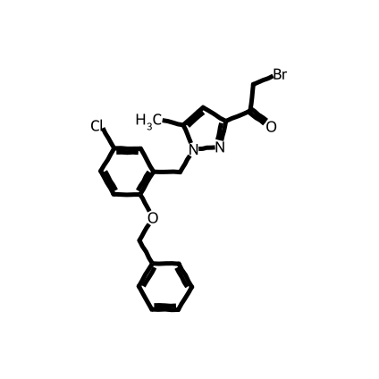 Cc1cc(C(=O)CBr)nn1Cc1cc(Cl)ccc1OCc1ccccc1